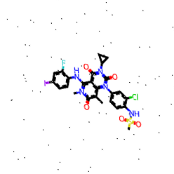 Cc1c(=O)n(C)c(Nc2ccc(I)cc2F)c2c(=O)n(C3CC3)c(=O)n(-c3ccc(NS(C)(=O)=O)c(Cl)c3)c12